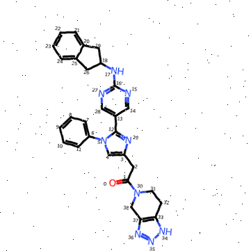 O=C(Cc1cn(-c2ccccc2)c(-c2cnc(NC3Cc4ccccc4C3)nc2)n1)N1CCc2[nH]nnc2C1